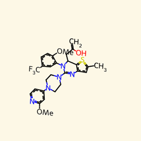 C=C(O)CC1c2sc(C)cc2N=C(N2CCN(c3ccnc(OC)c3)CC2)N1c1cc(C(F)(F)F)ccc1OC